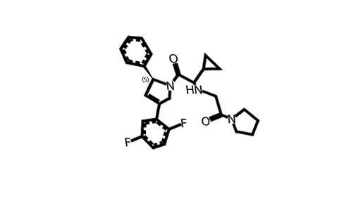 O=C(CNC(C(=O)N1CC(c2cc(F)ccc2F)=C[C@H]1c1ccccc1)C1CC1)N1CCCC1